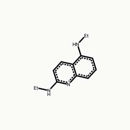 CCNc1ccc2c(NCC)cccc2n1